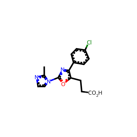 Cc1nccn1-c1nc(-c2ccc(Cl)cc2)c(CCC(=O)O)o1